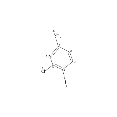 Nc1ccc(I)c(Cl)n1